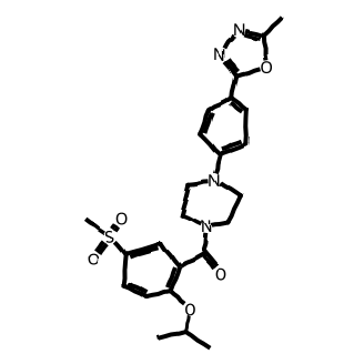 Cc1nnc(-c2ccc(N3CCN(C(=O)c4cc(S(C)(=O)=O)ccc4OC(C)C)CC3)cc2)o1